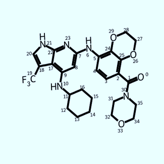 O=C(c1ccc(Nc2cc(NC3CCCCC3)c3c(C(F)(F)F)c[nH]c3n2)c2c1OCCO2)N1CCOCC1